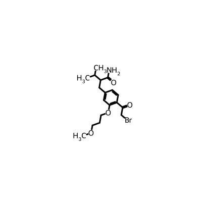 COCCCOc1cc(CC(C(N)=O)C(C)C)ccc1C(=O)CBr